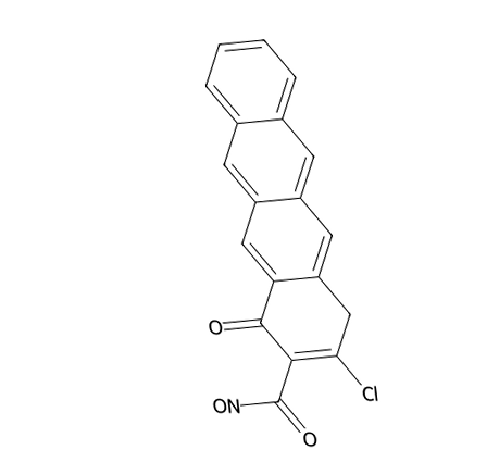 O=NC(=O)C1=C(Cl)Cc2cc3cc4ccccc4cc3cc2C1=O